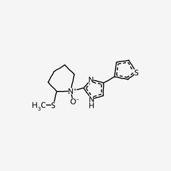 CSC1CCCC[N+]1([O-])c1nc(-c2ccsc2)c[nH]1